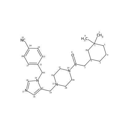 CC1(C)CCCC(CC(=O)N2CCN(Cc3cncn3Cc3ccc(C#N)cc3)CC2)C1